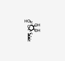 [N-]=[N+]=NC[C@@H]1CO[C@H](CO)[C@H](O)[C@@H]1O